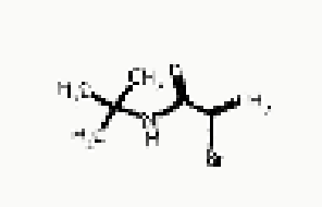 C=C(Br)C(=O)NC(C)(C)C